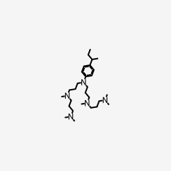 CCC(C)c1ccc(N(CCCN(C)CCCN(C)C)CCCN(C)CCCN(C)C)cc1